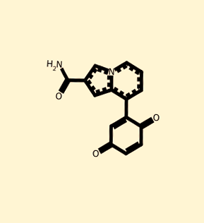 NC(=O)c1cc2c(C3=CC(=O)C=CC3=O)cccn2c1